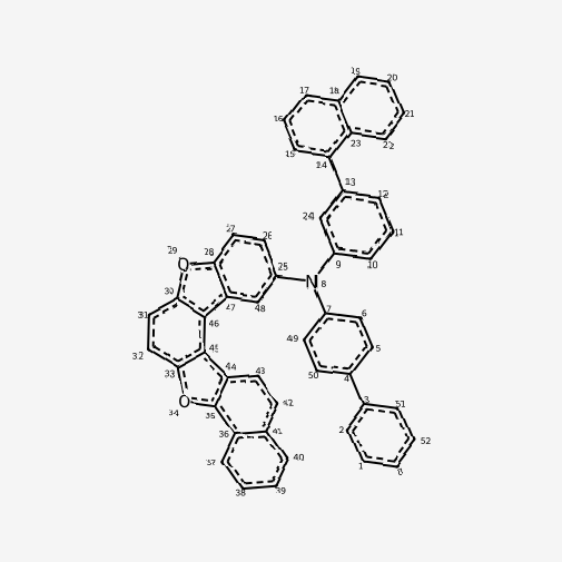 c1ccc(-c2ccc(N(c3cccc(-c4cccc5ccccc45)c3)c3ccc4oc5ccc6oc7c8ccccc8ccc7c6c5c4c3)cc2)cc1